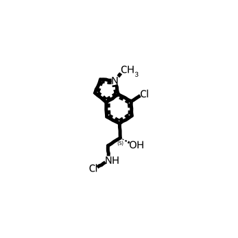 Cn1ccc2cc([C@H](O)CNCl)cc(Cl)c21